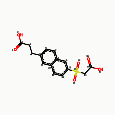 O=C(O)CCc1ccc2cc(S(=O)(=O)CC(=O)O)ccc2c1